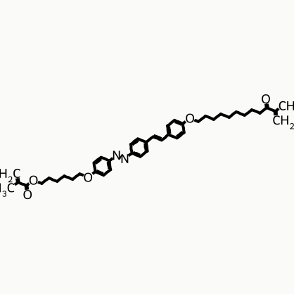 C=C(C)C(=O)CCCCCCCCCOc1ccc(C=Cc2ccc(N=Nc3ccc(OCCCCCCOC(=O)C(=C)C)cc3)cc2)cc1